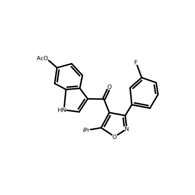 CC(=O)Oc1ccc2c(C(=O)c3c(-c4cccc(F)c4)noc3C(C)C)c[nH]c2c1